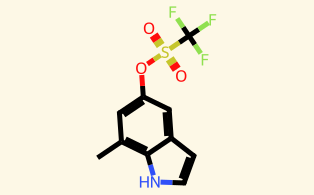 Cc1cc(OS(=O)(=O)C(F)(F)F)cc2cc[nH]c12